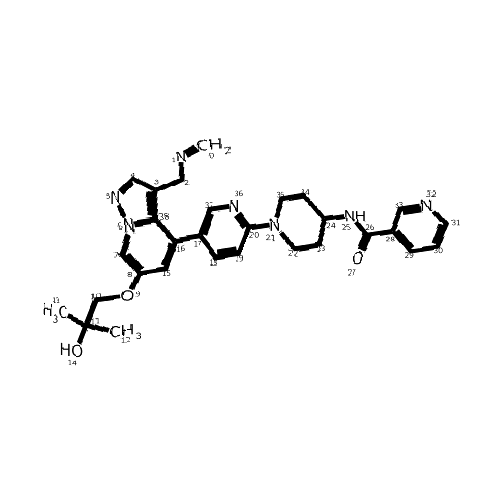 C=NCc1cnn2cc(OCC(C)(C)O)cc(-c3ccc(N4CCC(NC(=O)c5cccnc5)CC4)nc3)c12